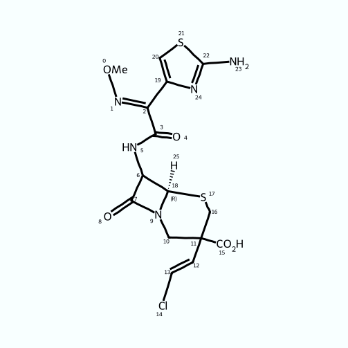 CON=C(C(=O)NC1C(=O)N2CC(C=CCl)(C(=O)O)CS[C@H]12)c1csc(N)n1